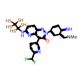 CN/C=C1/C=C(n2nc3ccc(NC(S)(S)C(S)(S)S)nc3c(-c3ccc(C(F)F)nc3)c2=O)C=CC1=N